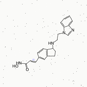 O=C(/C=C/c1ccc2c(c1)CCC2NCCn1cnc2ccccc21)NO